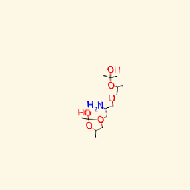 CC(COCC(N)COCC(C)OC(C)(C)O)OC(C)(C)O